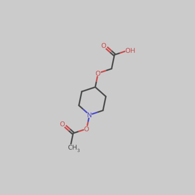 CC(=O)ON1CCC(OCC(=O)O)CC1